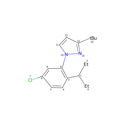 CCC(CC)c1ccc(Cl)cc1-n1ccc(C(C)(C)C)n1